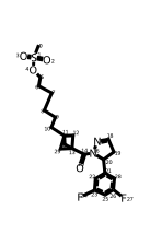 CS(=O)(=O)OCCCCCCC12CC(C(=O)N3N=CCC3c3cc(F)cc(F)c3)(C1)C2